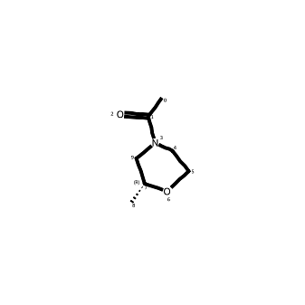 CC(=O)N1CCO[C@H](C)C1